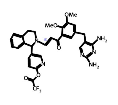 COc1cc(Cc2cnc(N)nc2N)cc(C(=O)/C=C/N2CCc3ccccc3C2c2ccc(OC(=O)C(F)(F)F)nc2)c1OC